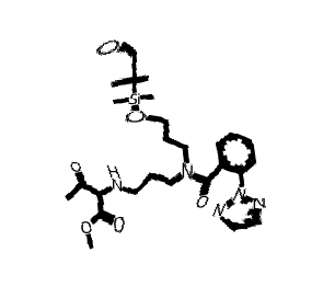 COC(=O)C(NCCCN(CCCO[Si](C)(C)C(C)(C)C=O)C(=O)c1ccccc1-n1nccn1)C(C)=O